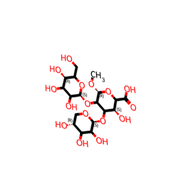 CO[C@@H]1OC(C(=O)O)[C@@H](O)C(O[C@@H]2OC[C@@H](O)C(O)C2O)C1O[C@@H]1OC(CO)[C@H](O)C(O)C1O